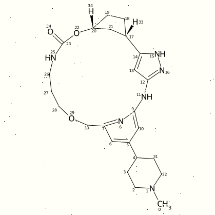 CN1CCC(c2cc3nc(c2)Nc2cc([nH]n2)[C@H]2CC[C@H](C2)OC(=O)NCCCOC3)CC1